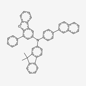 CC1(C)c2ccccc2-c2ccc(N(c3ccc(-c4ccc5ccccc5c4)cc3)c3cc(-c4ccccc4)c4oc5ccccc5c4c3)cc21